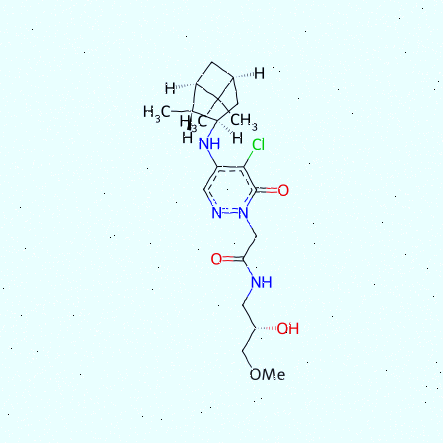 COC[C@@H](O)CNC(=O)Cn1ncc(N[C@@H]2C[C@@H]3C[C@H]([C@H]2C)C3(C)C)c(Cl)c1=O